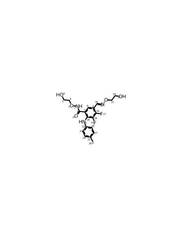 O=C(NOCCO)c1cc(C=NOCCO)c(F)c(F)c1Nc1ccc(I)cc1